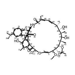 CO[C@H]1/C=C/O[C@@]2(C)Oc3c(C)c(O)c4c(=O)c(c5oc6ccc(N(C)C)cc6nc-5c4c3C2=O)NC(=O)/C(C)=C\C=C\[C@H](C)[C@H](O)[C@@H](C)[C@@H](O)[C@@H](C)[C@H](OC(C)=O)[C@@H]1C